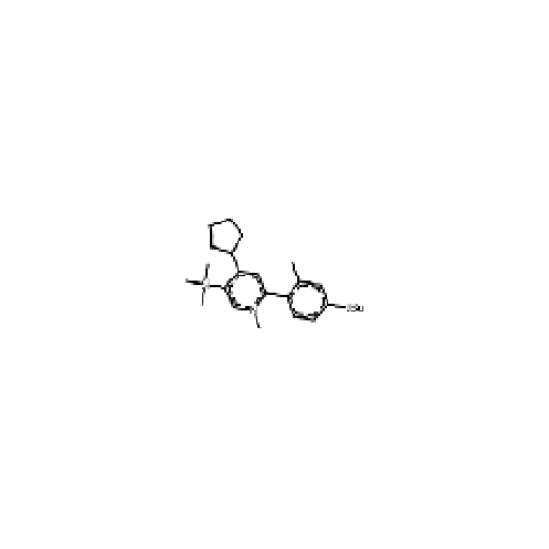 Cc1cc(C(C)(C)C)ccc1-c1cc(C2CCCC2)c([Si](C)(C)C)c[n+]1C